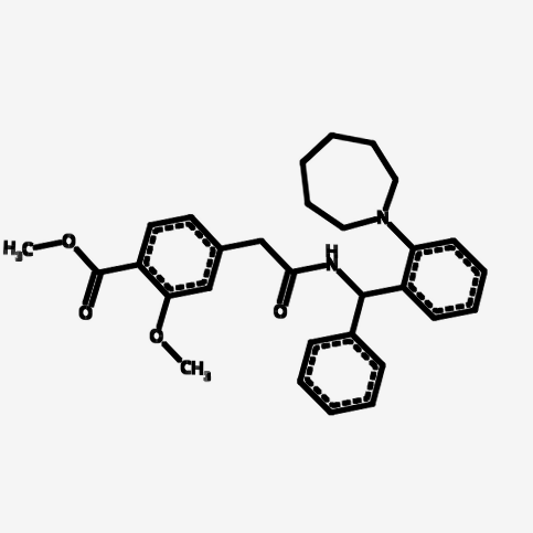 COC(=O)c1ccc(CC(=O)NC(c2ccccc2)c2ccccc2N2CCCCCC2)cc1OC